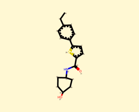 CCc1ccc(-c2ccc(C(=O)NC3CCC(O)CC3)s2)cc1